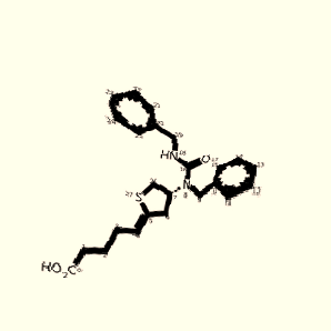 O=C(O)CCC/C=C1/C[C@@H](N(Cc2ccccc2)C(=O)NCc2ccccc2)CS1